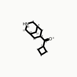 O=C(C1CCC1)C1CC2CNCC(C2)C1